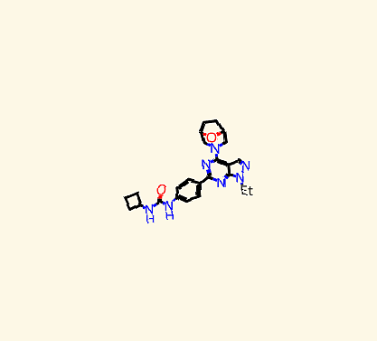 CCn1ncc2c(N3CC4CCC(C3)O4)nc(-c3ccc(NC(=O)NC4CCC4)cc3)nc21